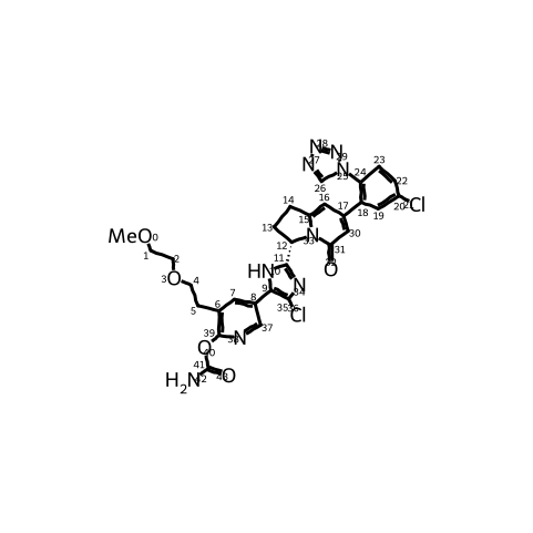 COCCOCCc1cc(-c2[nH]c([C@@H]3CCc4cc(-c5cc(Cl)ccc5-n5cnnn5)cc(=O)n43)nc2Cl)cnc1OC(N)=O